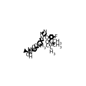 CC(C)N(C(=O)c1cc(F)ccc1Oc1cncnc1N1CC2(CCN(C[C@@]3(O)CC[C@@H](NS(=N)(=O)C4CC4)CO3)CC2)C1)C(C)C